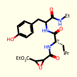 CCNC(=O)C(Cc1ccc(O)cc1)NC(=O)[C@H](CC(C)C)NC(=O)C1OC1C(=O)OCC